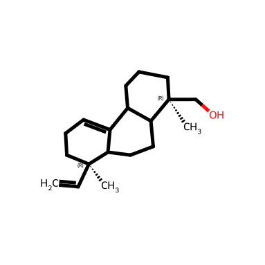 C=C[C@@]1(C)CCC=C2C3CCC[C@@](C)(CO)C3CCC21